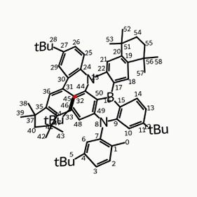 Cc1ccc(C(C)(C)C)cc1N1c2cc(C(C)(C)C)ccc2B2c3cc4c(cc3N(c3ccc(C(C)(C)C)cc3-c3ccc5c(c3)C(C)(C)CC5(C)C)c3cc(C(C)(C)C)cc1c32)C(C)(C)CCC4(C)C